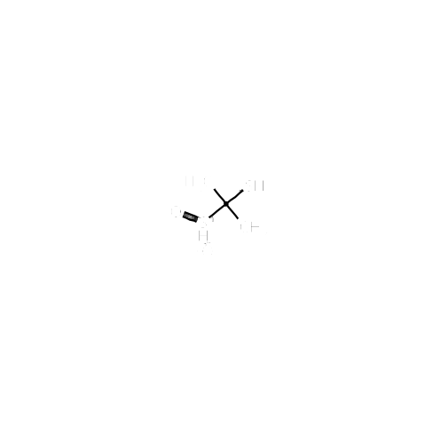 CC(C)(S)[SH](=O)=O